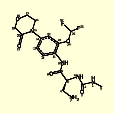 CNC(=O)N[C@@H](CN)C(=O)Nc1ccc(N2CCOCC2=O)cc1OC(F)F